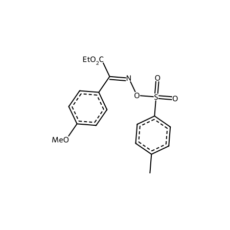 CCOC(=O)C(=NOS(=O)(=O)c1ccc(C)cc1)c1ccc(OC)cc1